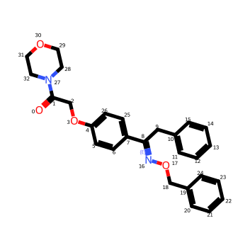 O=C(COc1ccc(/C(Cc2ccccc2)=N/OCc2ccccc2)cc1)N1CCOCC1